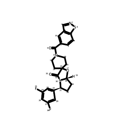 O=C(c1ccc2sncc2c1)N1CCC2(CC1)O[C@@H]1CC[C@@H](c3cc(F)cc(F)c3)N1C2=O